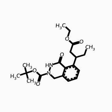 CCOC(=O)CC(CC)c1cccc2c1C(=O)NN(C(=O)OC(C)(C)C)C2